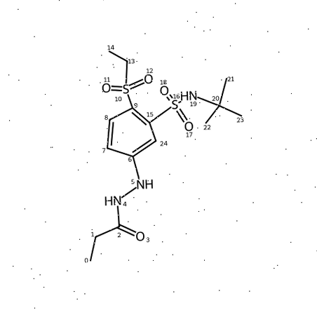 CCC(=O)NNc1ccc(S(=O)(=O)CC)c(S(=O)(=O)NC(C)(C)C)c1